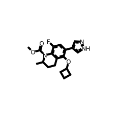 COC(=O)N1c2c(F)cc(-c3cn[nH]c3)c(OC3CCC3)c2CCC1C